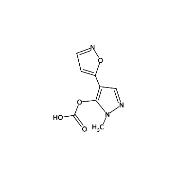 Cn1ncc(-c2ccno2)c1OC(=O)O